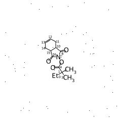 CCC(C)(C)C(=O)ON1C(=O)C2CC=CCC2C1=O